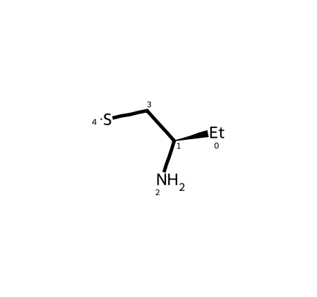 CC[C@@H](N)C[S]